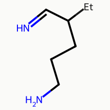 CCC(C=N)CCCN